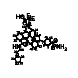 NS(=O)(=O)c1ccc(CCN(Cc2cccc(-c3cccc(C(=O)NCCN4CCCC4)c3)c2)C(=O)CCCc2ccccc2)cc1.O=C(O)C(F)(F)F